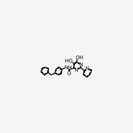 O=C(Nc1ccc(Cc2ccccc2)cc1)c1nc(-c2ccccn2)nc(O)c1O